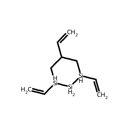 C=CC1C[SiH](C=C)[SiH2][SiH](C=C)C1